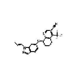 CC=Cn1ncc2ccc(OC3CCCc4c3ncc(C#N)c4C(F)(F)F)cc21